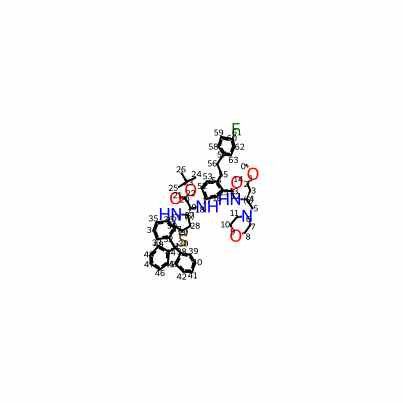 COCC[C@@H](CN1CCOCC1)NC(=O)c1cc(NC(C(=O)OC(C)(C)C)[C@@H]2C[C@H](SC(c3ccccc3)(c3ccccc3)c3ccccc3)CN2)ccc1CCc1ccc(F)cc1